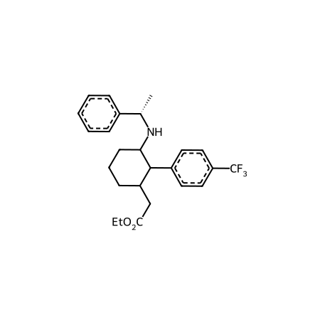 CCOC(=O)CC1CCCC(N[C@@H](C)c2ccccc2)C1c1ccc(C(F)(F)F)cc1